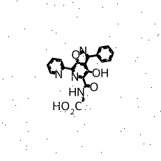 O=C(O)CNC(=O)c1nc(-c2ccccn2)c2onc(-c3ccccc3)c2c1O